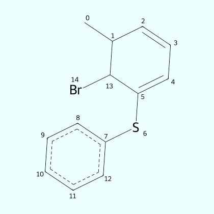 CC1C=CC=C(Sc2ccccc2)C1Br